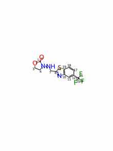 O=C1OCCN1NCc1nc2cc(C(F)(F)F)ccc2s1